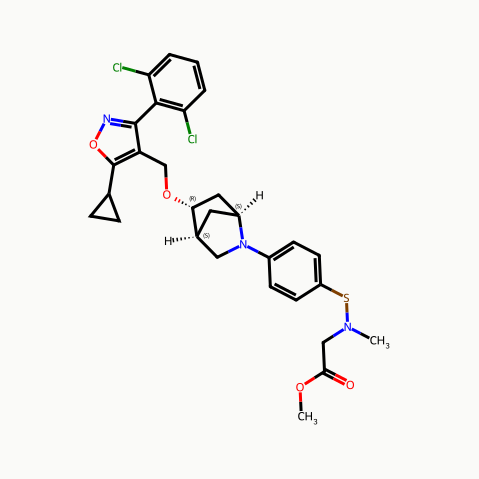 COC(=O)CN(C)Sc1ccc(N2C[C@@H]3C[C@H]2C[C@H]3OCc2c(-c3c(Cl)cccc3Cl)noc2C2CC2)cc1